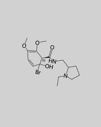 CCN1CCCC1CNC(=O)[C@@H]1C(OC)=C(OC)C=CC1(O)Br